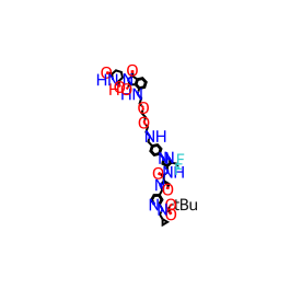 CC(C)(C)OC(=O)N(CC1CC1)c1cc(-c2nc(C(=O)Nc3cn(-c4ccc(CNCCOCCOCCNc5cccc6c5C(O)N(C5CCC(=O)NC5=O)C6=O)cc4)nc3C(F)F)co2)ccn1